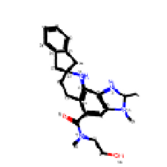 CC1Nc2c(cc(C(=O)N(C)CCO)c3c2NC2(CC3)Cc3ccccc3C2)N1C